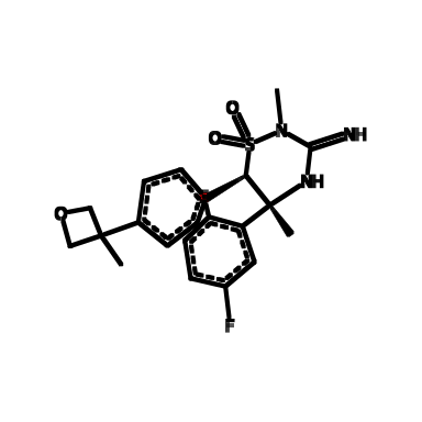 CN1C(=N)N[C@](C)(c2cc(F)ccc2F)[C@@H](c2ccc(C3(C)COC3)cc2)S1(=O)=O